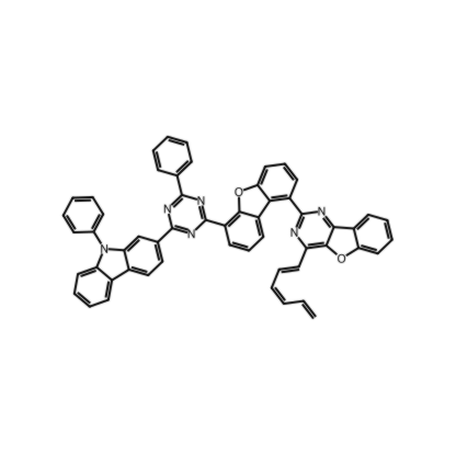 C=C/C=C\C=C\c1nc(-c2cccc3oc4c(-c5nc(-c6ccccc6)nc(-c6ccc7c8ccccc8n(-c8ccccc8)c7c6)n5)cccc4c23)nc2c1oc1ccccc12